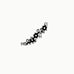 O=C(Nc1nc2ccc(Cl)cc2s1)c1ccc(-c2ncc(CC(O)CO)cc2F)cc1